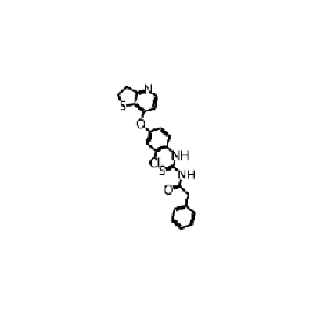 O=C(Cc1ccccc1)NC(=S)Nc1ccc(Oc2ccnc3c2SCC3)cc1Cl